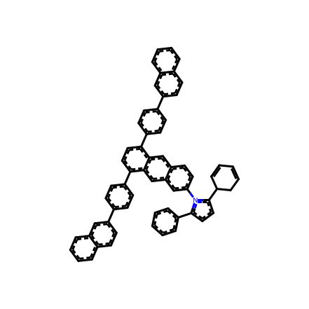 C1=CCC(c2ccc(-c3ccccc3)n2-c2ccc3cc4c(-c5ccc(-c6ccc7ccccc7c6)cc5)ccc(-c5ccc(-c6ccc7ccccc7c6)cc5)c4cc3c2)C=C1